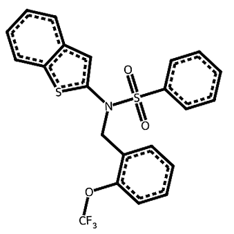 O=S(=O)(c1ccccc1)N(Cc1ccccc1OC(F)(F)F)c1cc2ccccc2s1